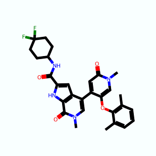 Cc1cccc(C)c1Oc1cn(C)c(=O)cc1-c1cn(C)c(=O)c2[nH]c(C(=O)NC3CCC(F)(F)CC3)cc12